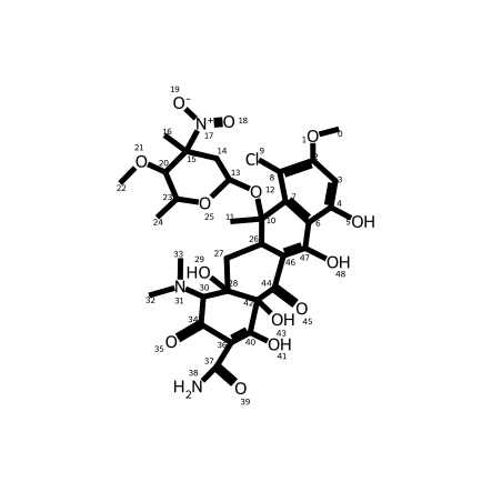 COc1cc(O)c2c(c1Cl)C(C)(OC1CC(C)([N+](=O)[O-])C(OC)C(C)O1)C1CC3(O)C(N(C)C)C(=O)C(C(N)=O)=C(O)C3(O)C(=O)C1=C2O